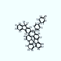 Cc1ccc(-c2ccc(N(c3ccc4c(c3)C(C)(C)c3ccccc3-4)c3ccc4c(c3)C3(C5=C(CCC=C5)C5C=CC=CC53)c3ccccc3-4)cc2)cc1